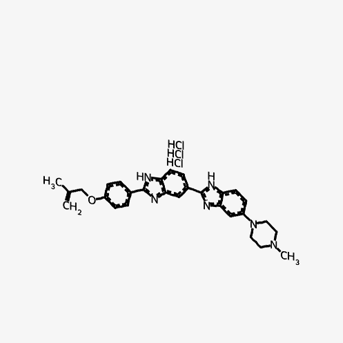 C=C(C)COc1ccc(-c2nc3cc(-c4nc5cc(N6CCN(C)CC6)ccc5[nH]4)ccc3[nH]2)cc1.Cl.Cl.Cl